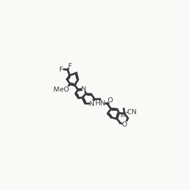 COc1cc(C(F)F)ccc1-c1ccc2cnc(CNC(=O)c3ccc4c(c3)[C@](C)(C#N)COC4)cc2n1